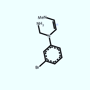 CN/C=C\N(CN)c1cccc(Br)c1